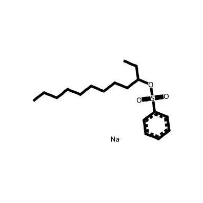 CCCCCCCCCC(CC)OS(=O)(=O)c1ccccc1.[Na]